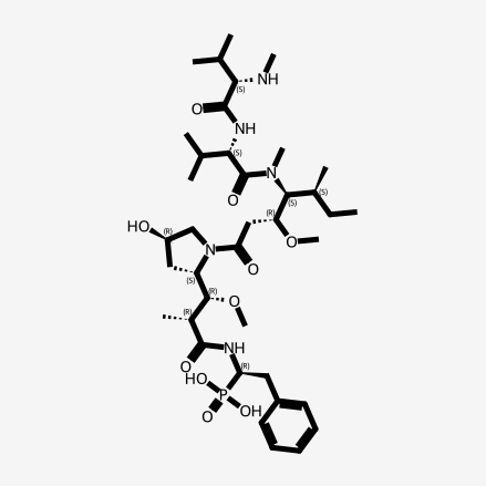 CC[C@H](C)[C@@H]([C@@H](CC(=O)N1C[C@H](O)C[C@H]1[C@H](OC)[C@@H](C)C(=O)N[C@@H](Cc1ccccc1)P(=O)(O)O)OC)N(C)C(=O)[C@@H](NC(=O)[C@@H](NC)C(C)C)C(C)C